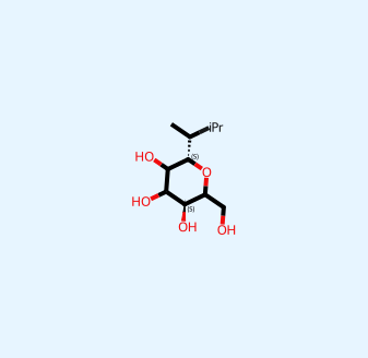 CC(C)C(C)[C@@H]1OC(CO)[C@@H](O)C(O)C1O